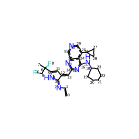 C=C/N=C1/NC(C(C)(F)CF)=C/C1=C\c1nc(NC2CCCCC2)c2c(C3CC3)cncc2n1